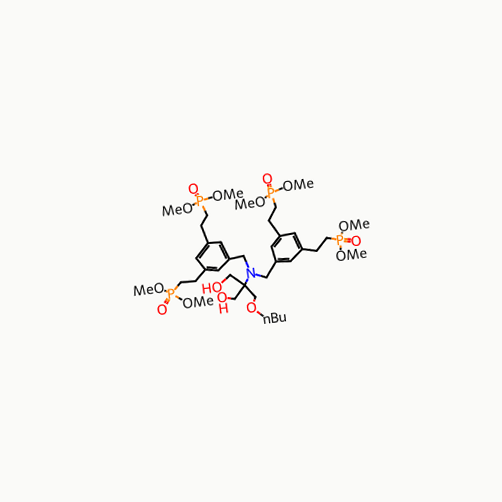 CCCCOCC(CO)(CO)N(Cc1cc(CCP(=O)(OC)OC)cc(CCP(=O)(OC)OC)c1)Cc1cc(CCP(=O)(OC)OC)cc(CCP(=O)(OC)OC)c1